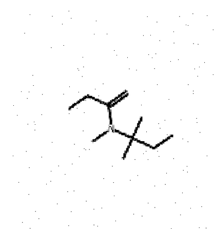 C=C(CC)N(C)C(C)(C)CC